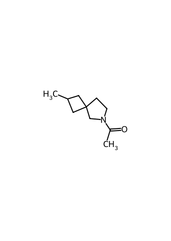 CC(=O)N1CCC2(CC(C)C2)C1